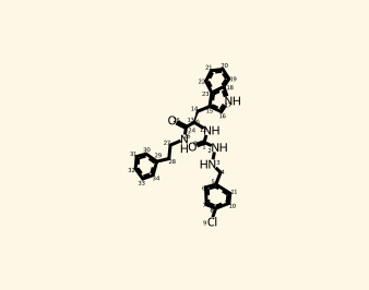 O=C(NNCc1ccc(Cl)cc1)N[C@H](Cc1c[nH]c2ccccc12)C(=O)NCCc1ccccc1